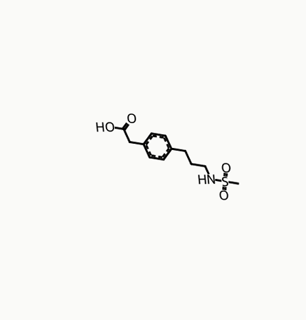 CS(=O)(=O)NCCCc1ccc(CC(=O)O)cc1